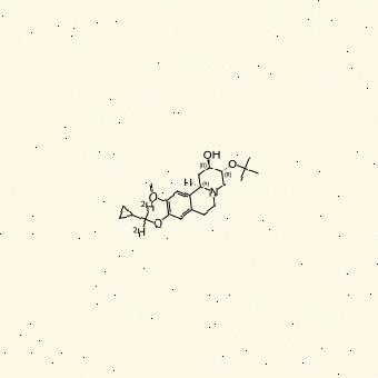 [2H]C([2H])(Oc1cc2c(cc1OC)[C@H]1C[C@@H](O)[C@H](OC(C)(C)C)CN1CC2)C1CC1